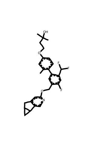 Cc1cc(OCCC(C)(C)O)ccc1-c1cc(COc2cc3c(cn2)C2CC2C3)c(F)cc1C(F)F